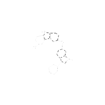 CNC1CCc2[nH]c3ccc(Nc4ccc5c(C6CCNCC6)cn(C)c5c4)cc3c2C1